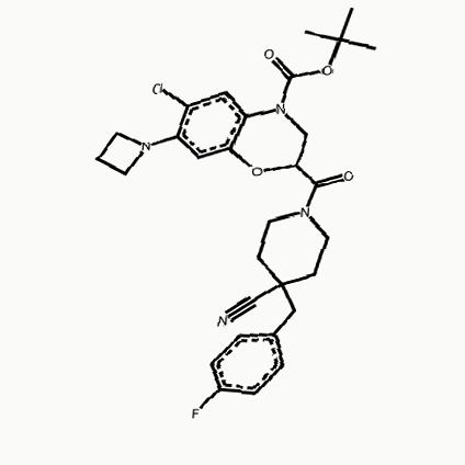 CC(C)(C)OC(=O)N1CC(C(=O)N2CCC(C#N)(Cc3ccc(F)cc3)CC2)Oc2cc(N3CCC3)c(Cl)cc21